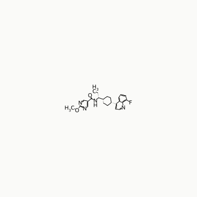 CC[C@@H](NC(=O)c1cnc(OC)nc1)[C@H]1CC[C@@H](c2ccnc3c(F)cccc32)CC1